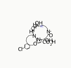 CN1CC/C=C/[C@H](O)[C@@H]2CC[C@H]2CN2CCCCc3cc(Cl)ccc3COc3ccc(nc32)C(O)(C(=O)O)CC1=O